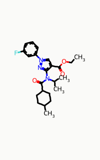 CCOC(=O)c1cn(-c2cccc(F)c2)nc1N(C(=O)C1CCC(C)CC1)C(C)C